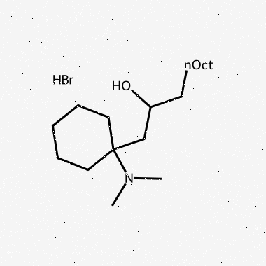 Br.CCCCCCCCCC(O)CC1(N(C)C)CCCCC1